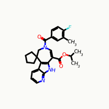 Cc1cc(C(=O)N2C=C(C(=O)OC(C)C)c3[nH]c4ncccc4c3C3(CCCC3)C2)ccc1F